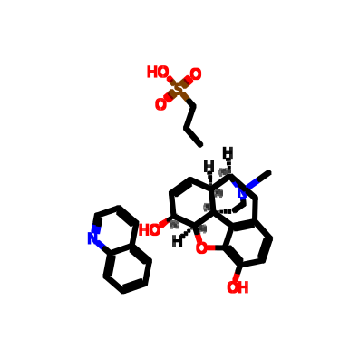 CCCS(=O)(=O)O.CN1CC[C@]23c4c5ccc(O)c4O[C@H]2[C@@H](O)C=C[C@H]3[C@H]1C5.c1ccc2ncccc2c1